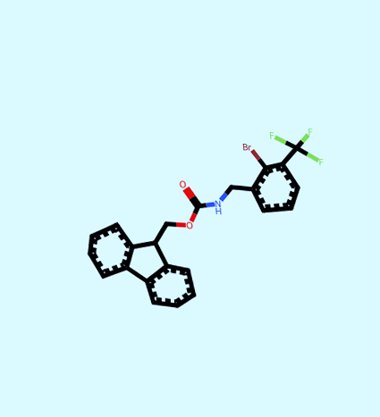 O=C(NCc1cccc(C(F)(F)F)c1Br)OCC1c2ccccc2-c2ccccc21